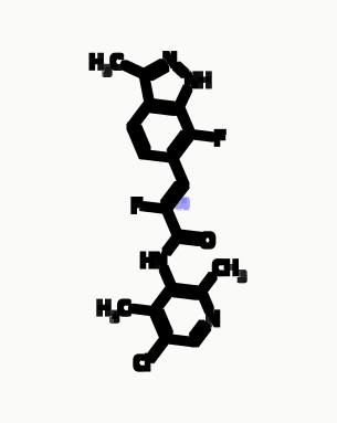 Cc1ncc(Cl)c(C)c1NC(=O)/C(F)=C/c1ccc2c(C)n[nH]c2c1F